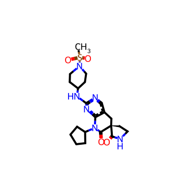 CS(=O)(=O)N1CCC(Nc2ncc3c(n2)N(C2CCCC2)C(=O)[C@]2(CCNC2=O)C3)CC1